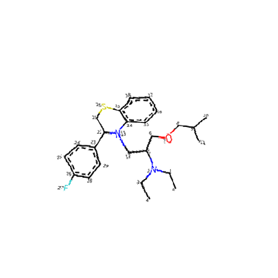 CCN(CC)C(COCC(C)C)CN1c2ccccc2SCC1c1ccc(F)cc1